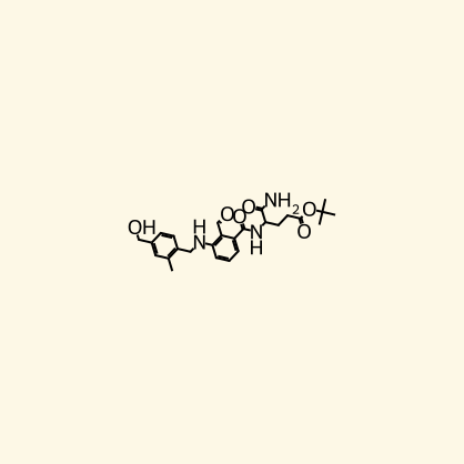 Cc1cc(CO)ccc1CNc1cccc(C(=O)NC(CCC(=O)OC(C)(C)C)C(N)=O)c1C=O